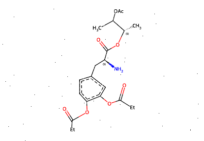 CCC(=O)Oc1ccc(C[C@H](N)C(=O)O[C@@H](C)C(C)OC(C)=O)cc1OC(=O)CC